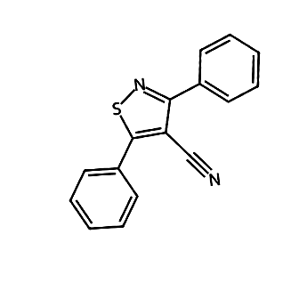 N#Cc1c(-c2ccccc2)nsc1-c1ccccc1